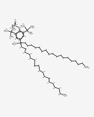 CCCCCCCCCCCCCCCCCCC(C)(CCCCCCCCCCCCCCCCCC)c1cc(C(C)(C)C)c(O[PH](=O)O)c(C(C)(C)C)c1